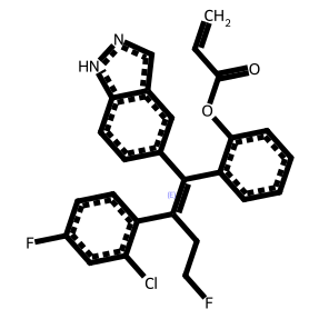 C=CC(=O)Oc1ccccc1/C(=C(\CCF)c1ccc(F)cc1Cl)c1ccc2[nH]ncc2c1